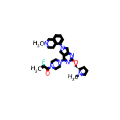 C=C(F)C(=O)N1CCN(c2nc(OC[C@@H]3CCCN3C)nc3c2CN(c2cccc4c2CCN(C)C4)C3)CC1